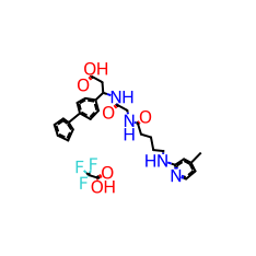 Cc1ccnc(NCCCCC(=O)NCC(=O)NC(CC(=O)O)c2ccc(-c3ccccc3)cc2)c1.O=C(O)C(F)(F)F